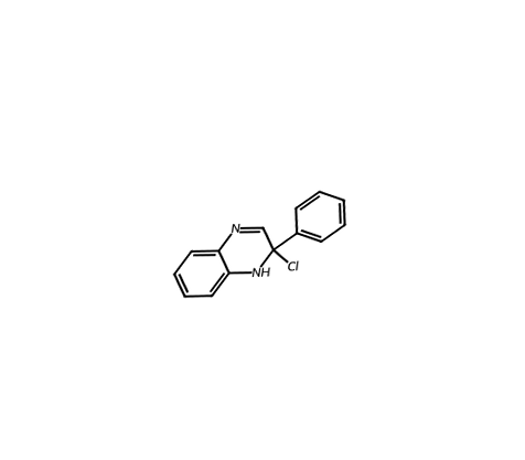 ClC1(c2ccccc2)C=Nc2ccccc2N1